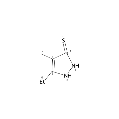 CCc1[nH][nH]c(=S)c1C